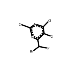 Clc1nc(Cl)c(Cl)c(C(Br)Br)n1